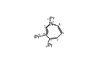 CC(C)C1=CC=CN(C(C)C)C=C1C(C)C